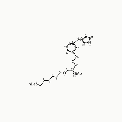 CCCCCCCCCCCCCCCCOCC(COCc1cccc(Cn2ccnc2)c1)OC